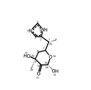 C[C@@H](c1cnc[nH]1)C1C[C@](C)(O)C(=O)[C@@H](O)O1